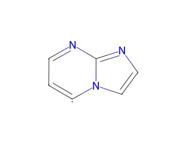 [c]1ccnc2nccn12